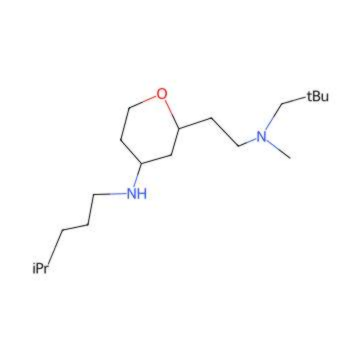 CC(C)CCCNC1CCOC(CCN(C)CC(C)(C)C)C1